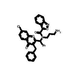 CC(C)C(c1oc2cc(Cl)ccc2c(=O)c1Cc1ccccc1)N(CCCN)C(=O)c1onc2ccccc12